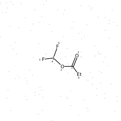 CCC(=O)OI(F)F